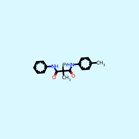 [CH2]C(C)C(C)(C(=O)Nc1ccccc1)C(=O)Nc1ccc(C)cc1